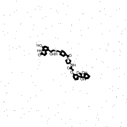 O=C(COc1cccc([C@](O)(C(=O)O)c2ccccc2)c1)N[C@@H]1CCN(C(=O)c2ccc(CNC[C@H](O)c3ccc(O)c4[nH]c(=O)ccc34)cc2)C1